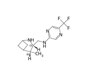 C[C@@H]1C2CC(C2)N[C@@H]1CNc1cnc(C(F)(F)F)cn1